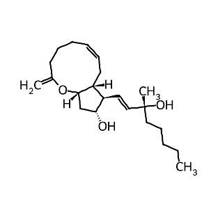 C=C1CCC/C=C\C[C@@H]2[C@@H](/C=C/[C@](C)(O)CCCCC)[C@H](O)C[C@@H]2O1